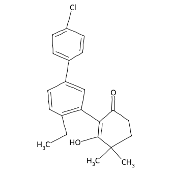 CCc1ccc(-c2ccc(Cl)cc2)cc1C1=C(O)C(C)(C)CCC1=O